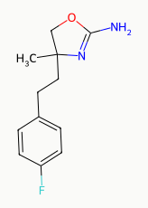 CC1(CCc2ccc(F)cc2)COC(N)=N1